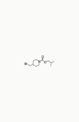 CC(C)COC(=O)N1CCC(CBr)CC1